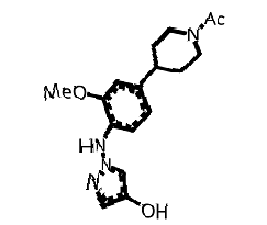 COc1cc(C2CCN(C(C)=O)CC2)ccc1Nn1cc(O)cn1